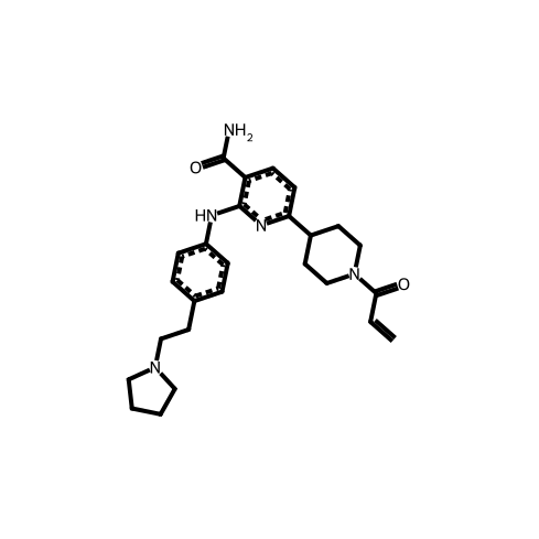 C=CC(=O)N1CCC(c2ccc(C(N)=O)c(Nc3ccc(CCN4CCCC4)cc3)n2)CC1